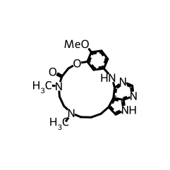 COc1ccc2cc1OCC(=O)N(C)CCN(C)CCCc1c[nH]c3ncnc(c13)N2